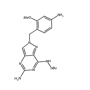 CCCCNc1nc(N)nc2cn(Cc3ccc(N)cc3OC)nc12